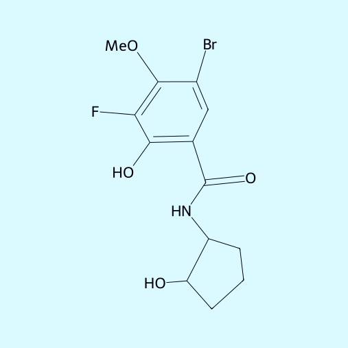 COc1c(Br)cc(C(=O)NC2CCCC2O)c(O)c1F